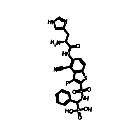 N#Cc1c(NC(=O)[C@@H](N)Cc2c[nH]cn2)ccc2sc(S(=O)(=O)NC(c3ccccc3)P(=O)(O)O)c(F)c12